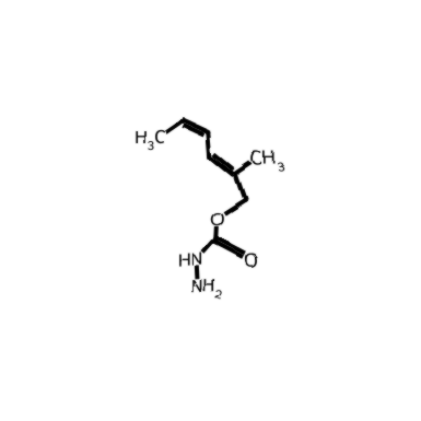 C/C=C\C=C(/C)COC(=O)NN